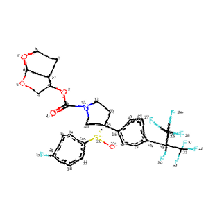 O=C(OC1COC2OCCC12)N1CC[C@](c2ccc(C(F)(C(F)(F)F)C(F)(F)F)cc2)([S+]([O-])c2ccc(F)cc2)C1